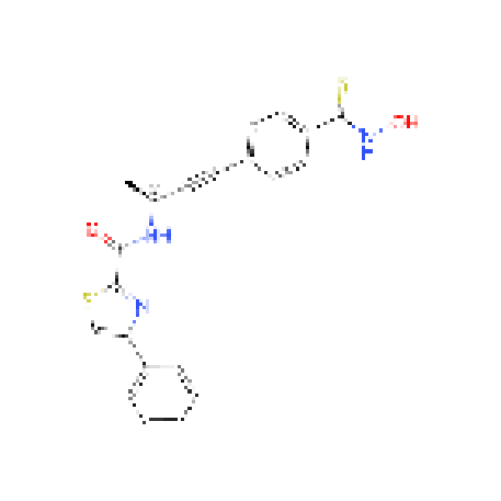 C[C@@H](C#Cc1ccc(C(=S)NO)cc1)NC(=O)c1nc(-c2ccccc2)cs1